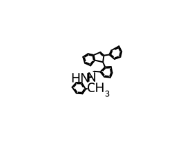 Cc1ccccc1NN=Cc1ccccc1C1C(c2ccccc2)=Cc2ccccc21